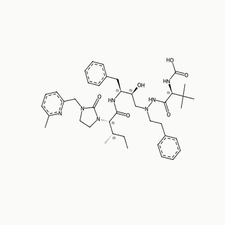 CC[C@H](C)[C@@H](C(=O)N[C@@H](Cc1ccccc1)[C@@H](O)CN(CCc1ccccc1)NC(=O)[C@@H](NC(=O)O)C(C)(C)C)N1CCN(Cc2cccc(C)n2)C1=O